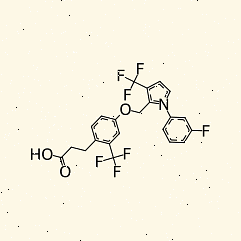 O=C(O)CCc1ccc(OCc2c(C(F)(F)F)ccn2-c2cccc(F)c2)cc1C(F)(F)F